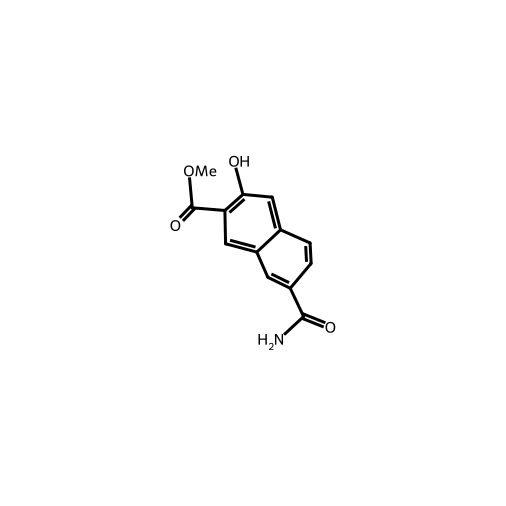 COC(=O)c1cc2cc(C(N)=O)ccc2cc1O